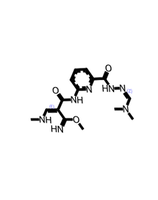 CN/C=C(\C(=N)OC)C(=O)Nc1cccc(C(=O)N/N=C\N(C)C)n1